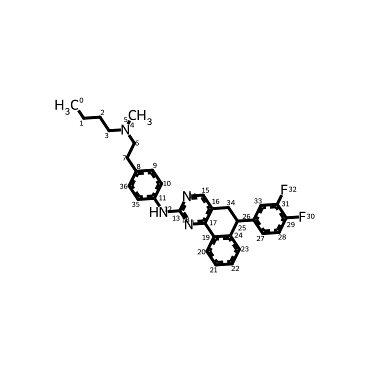 CCCCN(C)CCc1ccc(Nc2ncc3c(n2)-c2ccccc2C(c2ccc(F)c(F)c2)C3)cc1